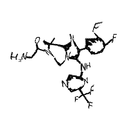 CC1(C)c2nc(-c3ccc(F)c(F)c3)c(Nc3cncc(C(F)(F)F)n3)n2CCN1C(=O)CN